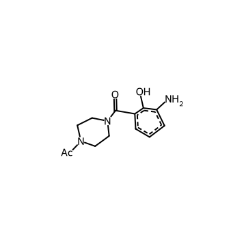 CC(=O)N1CCN(C(=O)c2cccc(N)c2O)CC1